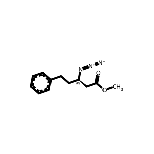 COC(=O)C[C@@H](CCc1ccccc1)N=[N+]=[N-]